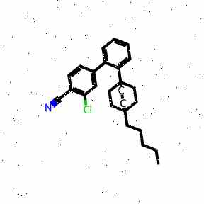 CCCCCC12CCC(c3ccccc3-c3ccc(C#N)c(Cl)c3)(CC1)CC2